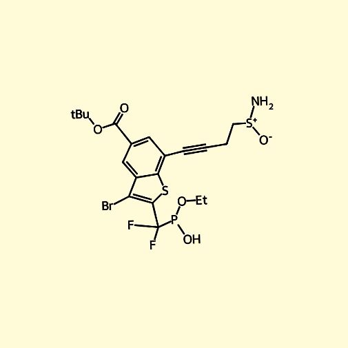 CCOP(O)C(F)(F)c1sc2c(C#CCC[S+](N)[O-])cc(C(=O)OC(C)(C)C)cc2c1Br